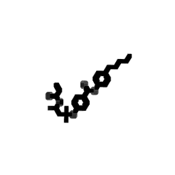 C=CC(=O)OC(C)CC(C)(C)Oc1ccc(C(=O)Oc2ccc(CCCCC)cc2)cc1